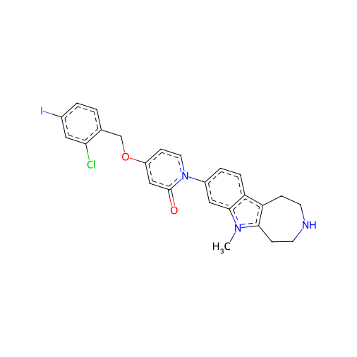 Cn1c2c(c3ccc(-n4ccc(OCc5ccc(I)cc5Cl)cc4=O)cc31)CCNCC2